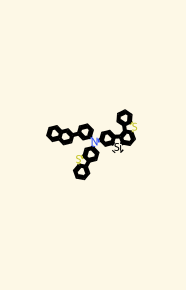 C[Si]1(C)c2cc(N(c3cccc(-c4ccc5ccccc5c4)c3)c3ccc4c(c3)sc3ccccc34)ccc2-c2c1ccc1sc3ccccc3c21